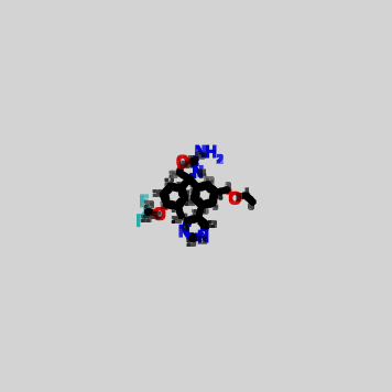 CCOCc1cc(-c2cncnc2)cc(C2(c3ccc(OC(F)F)c(C)c3)COC(N)=N2)c1